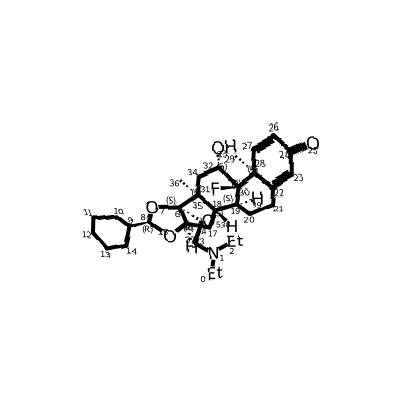 CCN(CC)CC(=O)[C@@]12O[C@H](C3CCCCC3)O[C@@H]1C[C@H]1[C@@H]3CCC4=CC(=O)C=C[C@]4(C)[C@@]3(F)[C@@H](O)C[C@@]12C